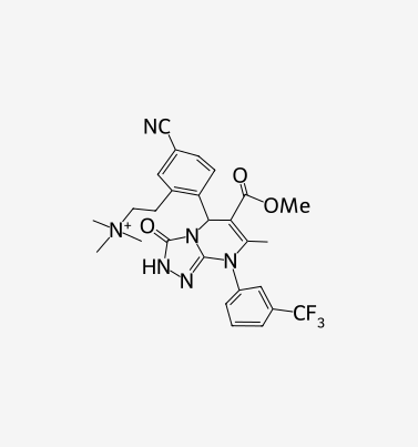 COC(=O)C1=C(C)N(c2cccc(C(F)(F)F)c2)c2n[nH]c(=O)n2C1c1ccc(C#N)cc1CC[N+](C)(C)C